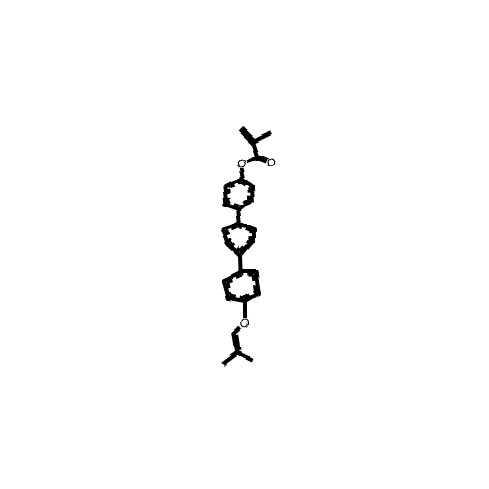 C=C(C)C(=O)Oc1ccc(-c2ccc(-c3ccc(OC=C(C)C)cc3)cc2)cc1